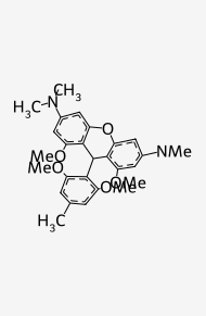 CNc1cc(OC)c2c(c1)Oc1cc(N(C)C)cc(OC)c1C2c1c(OC)cc(C)cc1OC